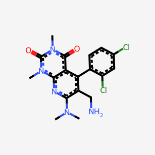 CN(C)c1nc2c(c(-c3ccc(Cl)cc3Cl)c1CN)c(=O)n(C)c(=O)n2C